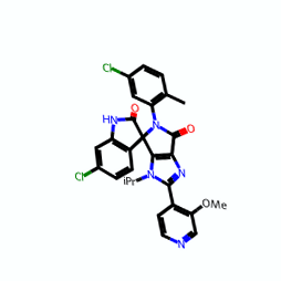 COc1cnccc1-c1nc2c(n1C(C)C)C1(C(=O)Nc3cc(Cl)ccc31)N(c1cc(Cl)ccc1C)C2=O